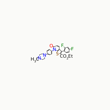 CCOC(=O)c1sc2c(ccc(=O)n2-c2ccc(N3CCN(C)CC3)cc2)c1-c1ccc(F)cc1F